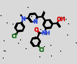 C=C(O)c1cc(NC(=O)c2cccc(Cl)c2)cc(C(=C)c2ccc(N(C)c3ccc(Cl)cc3)cn2)c1